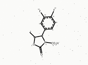 CC1OC(=O)N(C(=O)O)C1c1ccc(F)c(F)c1